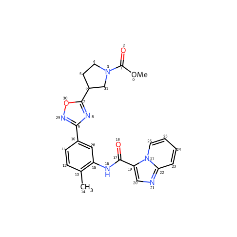 COC(=O)N1CCC(c2nc(-c3ccc(C)c(NC(=O)c4cnc5ccccn45)c3)no2)C1